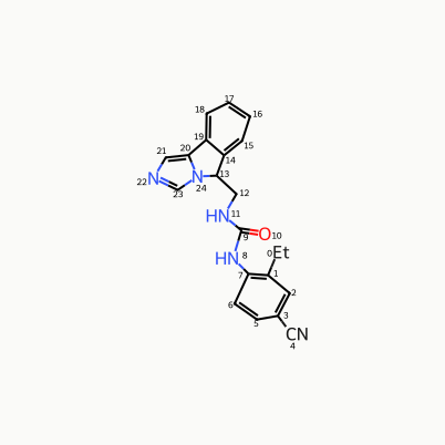 CCc1cc(C#N)ccc1NC(=O)NCC1c2ccccc2-c2cncn21